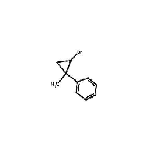 CC1(c2ccccc2)CC1Br